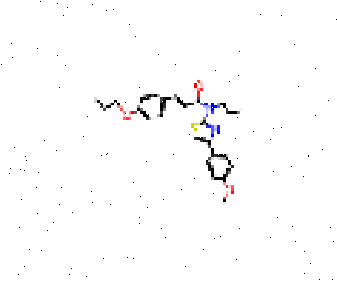 CCCOc1ccc(/C=C/C(=O)N(CCC)c2nc(-c3ccc(OC)cc3)cs2)cc1